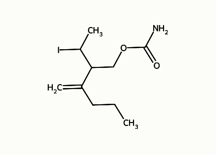 C=C(CCC)C(COC(N)=O)C(C)I